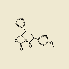 COc1ccc(C(C)C(=O)N2C(=O)OCC2Cc2ccccc2)cc1